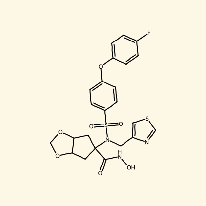 O=C(NO)C1(N(Cc2cscn2)S(=O)(=O)c2ccc(Oc3ccc(F)cc3)cc2)CC2OCOC2C1